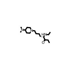 CCN[C@@H](CCCCN1CCC(N(C)C)CC1)C(=O)CC